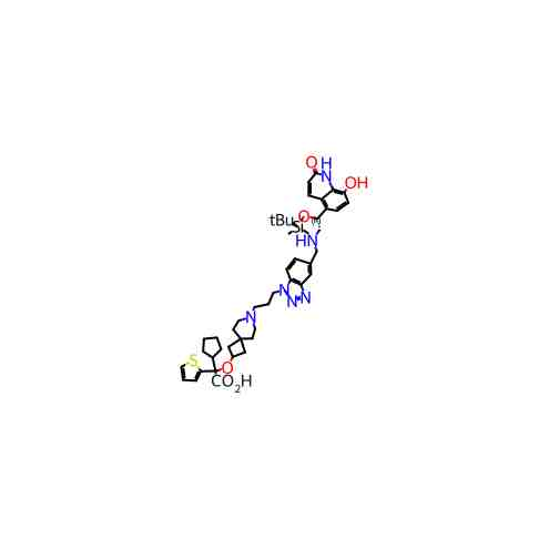 CC(C)(C)[Si](C)(C)O[C@@H](CNCc1ccc2c(c1)nnn2CCCN1CCC2(CC1)CC(OC(C(=O)O)(c1cccs1)C1CCCC1)C2)c1ccc(O)c2[nH]c(=O)ccc12